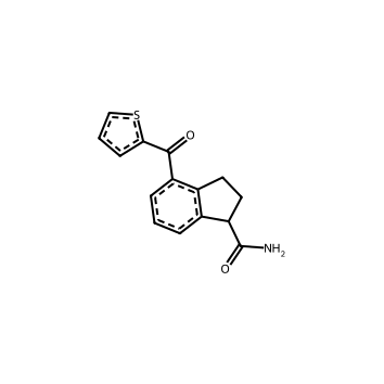 NC(=O)C1CCc2c(C(=O)c3cccs3)cccc21